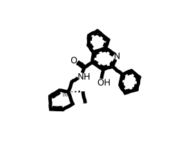 CC[C@@]1(CNC(=O)c2c(O)c(-c3ccccc3)nc3ccccc23)C=CC=CC1